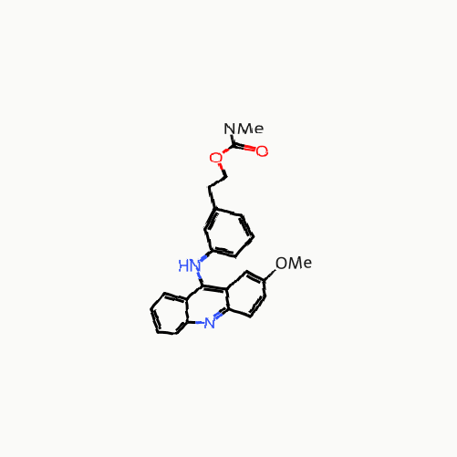 CNC(=O)OCCc1cccc(Nc2c3ccccc3nc3ccc(OC)cc23)c1